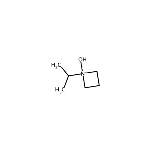 CC(C)[N+]1(O)CCC1